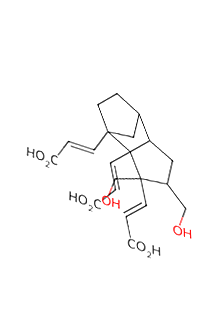 O=C(O)C=CC12CCC(C1)C1CC(CO)C(C=CC(=O)O)(CO)C12C=CC(=O)O